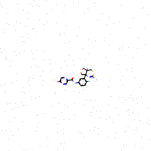 CCOc1cnc(C(=O)Nc2ccc(F)c(C34COCC3(F)CSC(N)=N4)c2)cn1.Cl